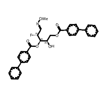 CON=C[C@@H](F)[C@H](OC(=O)c1ccc(-c2ccccc2)cc1)[C@H](O)COC(=O)c1ccc(-c2ccccc2)cc1